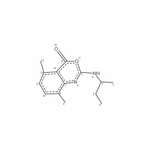 CCC(C)Nc1nc2c(C)ccc(C)c2c(=O)o1